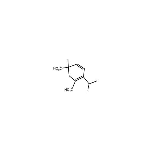 CC1(C(=O)O)C=CC(C(F)F)=C(C(=O)O)C1